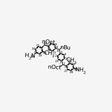 CCCCCCCCC(c1ccc(C(CCCC)c2ccc(C(CCCCCCCC)c3ccc(N)cc3C)cc2)cc1)c1ccc(N)cc1C